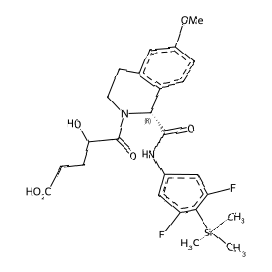 COc1ccc2c(c1)CCN(C(=O)C(O)CCC(=O)O)[C@H]2C(=O)Nc1cc(F)c([Si](C)(C)C)c(F)c1